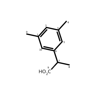 Cc1cc(C)cc(C(C)C(=O)O)c1